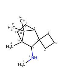 CNC1C2(CCC2)C2CCC1(C)C2(C)C